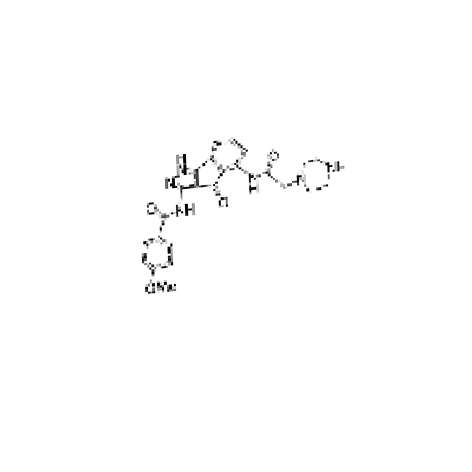 COc1ccc(C(=O)Nc2n[nH]c3c2C(=O)c2c(NC(=O)CN4CCNCC4)cccc2-3)cc1